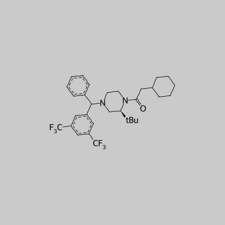 CC(C)(C)[C@H]1CN(C(c2ccccc2)c2cc(C(F)(F)F)cc(C(F)(F)F)c2)CCN1C(=O)CC1CCCCC1